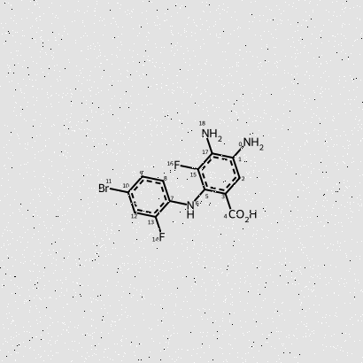 Nc1cc(C(=O)O)c(Nc2ccc(Br)cc2F)c(F)c1N